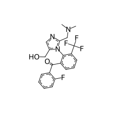 CN(C)Cc1ncc(CO)n1-c1c(C(=O)c2ccccc2F)cccc1C(F)(F)F